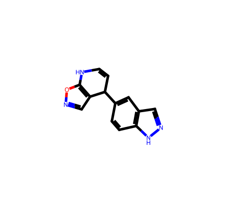 C1=CC(c2ccc3[nH]ncc3c2)c2cnoc2N1